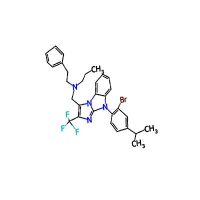 CCCN(CCc1ccccc1)Cc1c(C(F)(F)F)nc2n(-c3ccc(C(C)C)cc3Br)c3ccccc3n12